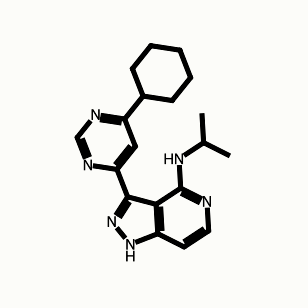 CC(C)Nc1nccc2[nH]nc(-c3cc(C4CCCCC4)ncn3)c12